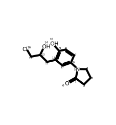 O=C1CCCN1c1ccc(O)c(CC(O)CCl)c1